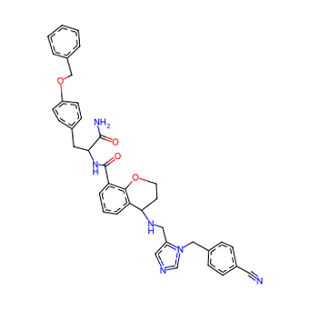 N#Cc1ccc(Cn2cncc2CNC2CCOc3c(C(=O)NC(Cc4ccc(OCc5ccccc5)cc4)C(N)=O)cccc32)cc1